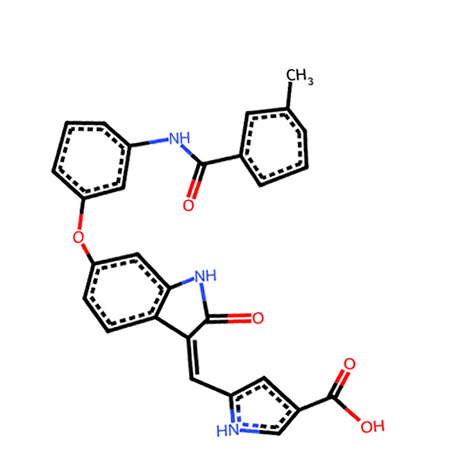 Cc1cccc(C(=O)Nc2cccc(Oc3ccc4c(c3)NC(=O)/C4=C\c3cc(C(=O)O)c[nH]3)c2)c1